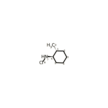 C[C@@H]1CCCC[C@H]1NCl